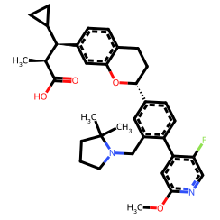 COc1cc(-c2ccc([C@H]3CCc4ccc([C@H](C5CC5)[C@H](C)C(=O)O)cc4O3)cc2CN2CCCC2(C)C)c(F)cn1